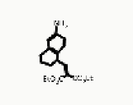 CCOC(=O)C(=CC1CCCc2cc(N)ccc21)C(=O)OCC